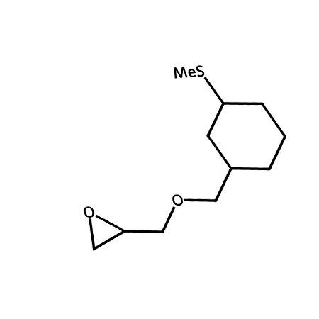 CSC1CCCC(COCC2CO2)C1